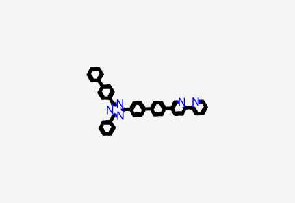 c1ccc(-c2ccc(-c3nc(-c4ccccc4)nc(-c4ccc(-c5ccc(-c6ccc(-c7ccccn7)nc6)cc5)cc4)n3)cc2)cc1